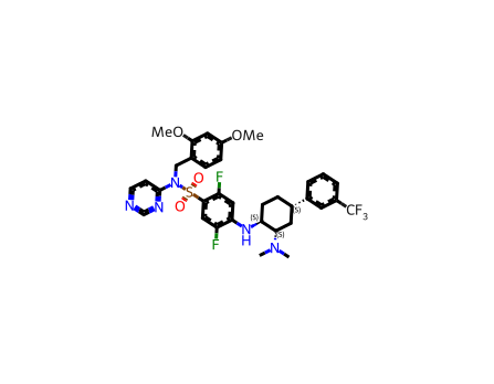 COc1ccc(CN(c2ccncn2)S(=O)(=O)c2cc(F)c(N[C@H]3CC[C@H](c4cccc(C(F)(F)F)c4)C[C@@H]3N(C)C)cc2F)c(OC)c1